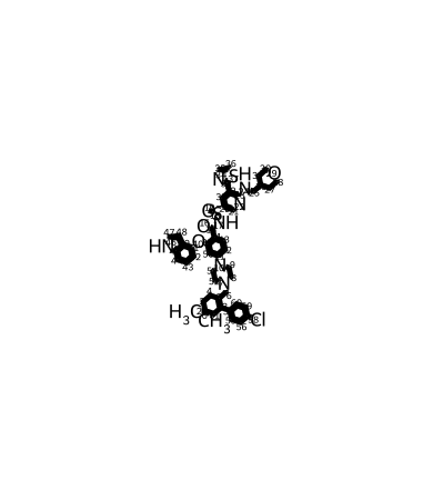 CC1(C)CCC(CN2CCN(c3ccc(C(=O)N[S+]([O-])c4cnc(NCC5CCOCC5)c(-c5nccs5)c4)c(Oc4cccc5[nH]ccc45)c3)CC2)=C(c2ccc(Cl)cc2)C1